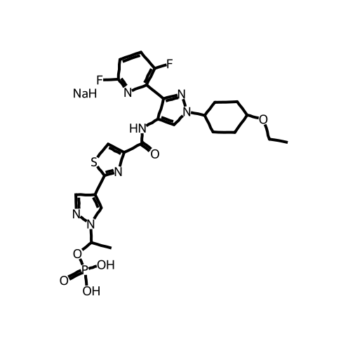 CCOC1CCC(n2cc(NC(=O)c3csc(-c4cnn(C(C)OP(=O)(O)O)c4)n3)c(-c3nc(F)ccc3F)n2)CC1.[NaH]